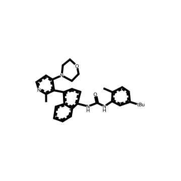 Cc1ccc(C(C)(C)C)cc1NC(=O)Nc1ccc(-c2c(N3CCOCC3)ccnc2C)c2ccccc12